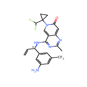 C=C[C@@H](Nc1nc(C)nc2cc(=O)n(C3(C(F)F)CC3)cc12)c1cc(N)cc(C(F)(F)F)c1